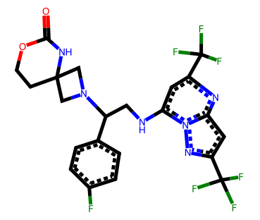 O=C1NC2(CCO1)CN(C(CNc1cc(C(F)(F)F)nc3cc(C(F)(F)F)nn13)c1ccc(F)cc1)C2